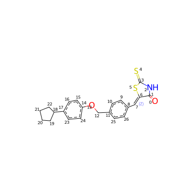 O=C1NC(=S)S/C1=C\c1ccc(COc2ccc(C3CCCC3)cc2)cc1